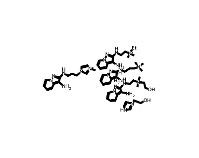 CC[N+](C)(C)CCNc1nn2ccccc2c1N.C[N+](C)(C)CCCNc1nn2ccccc2c1N.C[N+](C)(CCO)CCNc1nn2ccccc2c1N.C[n+]1ccn(CCCNc2nn3ccccc3c2N)c1.OCC[n+]1cc[nH]c1